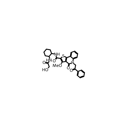 COc1c(C(=O)NC2CCCCC2NC(=O)CO)sc2c1c(=O)n(CC(=O)c1ccccc1)c1ccccc21